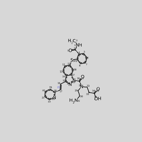 CNC(=O)c1ccccc1Sc1ccc2c(/C=C/c3ccccn3)nn(C(=O)N(CCN)CCC(=O)O)c2c1